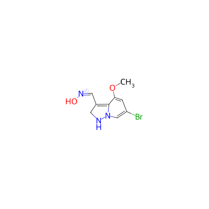 COC1=CC(Br)=CN2NCC(/C=N\O)=C12